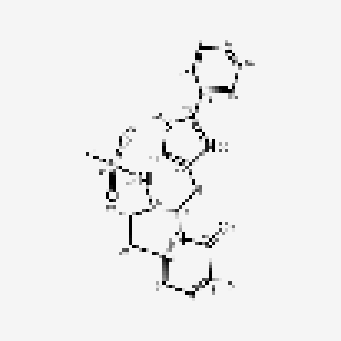 Cc1ccc2n(c1=O)C(Cc1csc(-c3ccccc3)n1)C(NS(C)(=O)=O)CC2